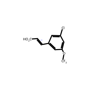 O=C(O)/C=C/c1cc(Cl)cc(OC(F)(F)F)c1